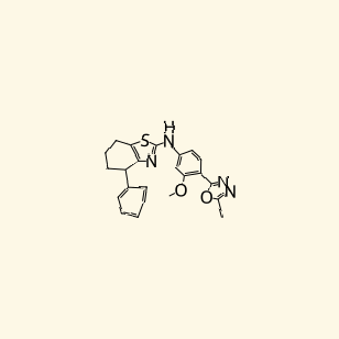 COc1cc(Nc2nc3c(s2)CCCC3c2ccccc2)ccc1-c1nnc(C)o1